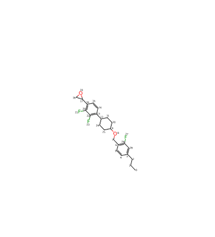 CCCc1ccc(COC2CCC(c3ccc(C4CO4)c(F)c3F)CC2)c(F)c1